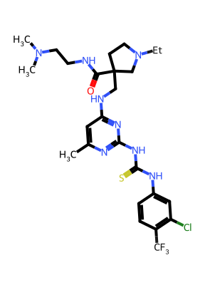 CCN1CCC(CNc2cc(C)nc(NC(=S)Nc3ccc(C(F)(F)F)c(Cl)c3)n2)(C(=O)NCCN(C)C)C1